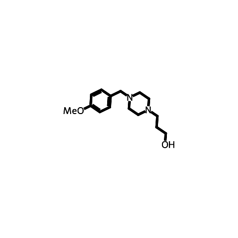 COc1ccc(CN2CCN(CCCO)CC2)cc1